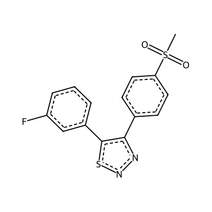 CS(=O)(=O)c1ccc(-c2nnsc2-c2cccc(F)c2)cc1